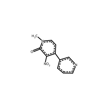 Cn1ccc(-c2cccnc2)c([N+](=O)[O-])c1=O